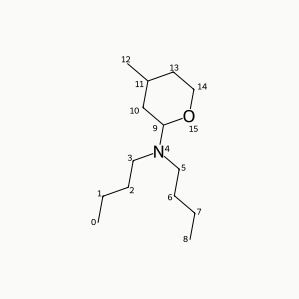 CCCCN(CCCC)C1CC(C)CCO1